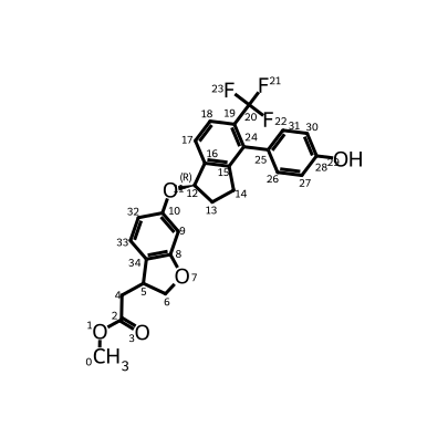 COC(=O)CC1COc2cc(O[C@@H]3CCc4c3ccc(C(F)(F)F)c4-c3ccc(O)cc3)ccc21